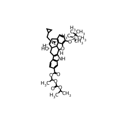 CC(C)OC(=O)OC(C)OC(=O)c1ccc2c3c([nH]c2c1)[C@@H]1Oc2c(O[Si](C)(C)C(C)(C)C)ccc4c2[C@@]12CCN(CC1CC1)[C@H](C4)[C@]2(O)C3